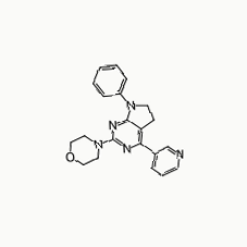 c1ccc(N2CCc3c(-c4cccnc4)nc(N4CCOCC4)nc32)cc1